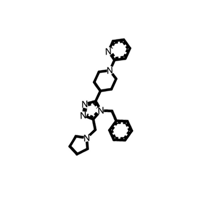 c1ccc(Cn2c(CN3CCCC3)nnc2C2CCN(c3ccccn3)CC2)cc1